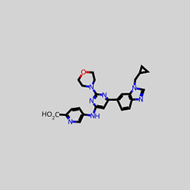 O=C(O)c1ccc(Nc2cc(-c3ccc4ncn(CC5CC5)c4c3)nc(N3CCOCC3)n2)cn1